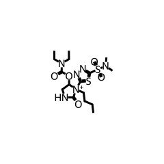 CCCC[N+]1(c2nnc(S(=O)(=O)N(C)C)s2)C(=O)NCC1OC(=O)N(CC)CC